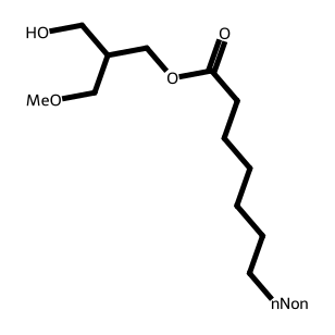 CCCCCCCCCCCCCCCC(=O)OCC(CO)COC